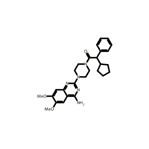 COc1cc2nc(N3CCN(C(=O)C(c4ccccc4)C4CCCC4)CC3)nc(N)c2cc1OC